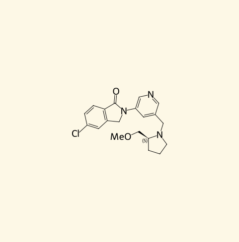 COC[C@@H]1CCCN1Cc1cncc(N2Cc3cc(Cl)ccc3C2=O)c1